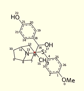 COc1ccc(SC2CC3CCC(C2)N3C(C)C(O)c2ccc(O)cc2)cc1